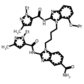 CCn1nc(C)cc1C(=O)Nc1nc2cc(C(N)=O)ccc2n1CCCCn1c(NC(=O)c2cc(C)nn2CC)nc2cccc(OC(C)C)c21